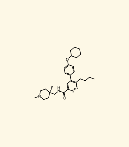 CCCCc1nnc(C(=O)NCC2(F)CCN(C)CC2)cc1-c1ccc(OC2CCCCC2)cc1